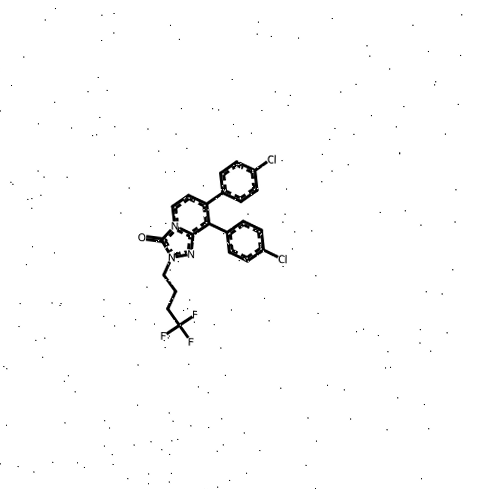 O=c1n(CCCC(F)(F)F)nc2c(-c3ccc(Cl)cc3)c(-c3ccc(Cl)cc3)ccn12